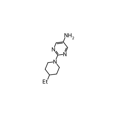 CCC1CCN(c2ncc(N)cn2)CC1